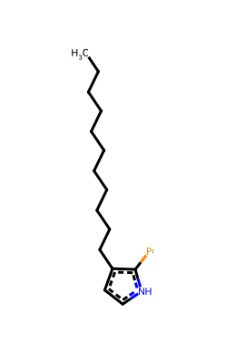 CCCCCCCCCCCc1cc[nH]c1[P]